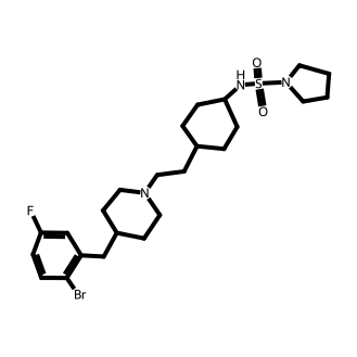 O=S(=O)(NC1CCC(CCN2CCC(Cc3cc(F)ccc3Br)CC2)CC1)N1CCCC1